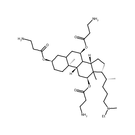 CCN(C)CCC[C@@H](C)[C@H]1CC[C@H]2C3[C@H](OC(=O)CCN)CC4C[C@H](OC(=O)CCN)CC[C@]4(C)[C@H]3C[C@H](OC(=O)CCN)C12C